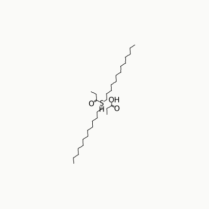 CCC(=O)O.CCCCCCCCCCCCC[SH](CCCCCCCCCCCCC)C(=O)CC